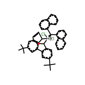 CC(C)(C)c1ccc2c(c1)-c1cc(C(C)(C)C)ccc1[CH]2[Hf]([Cl])([Cl])(=[C](c1cccc2ccccc12)c1cccc2ccccc12)[CH]1C=CC=C1